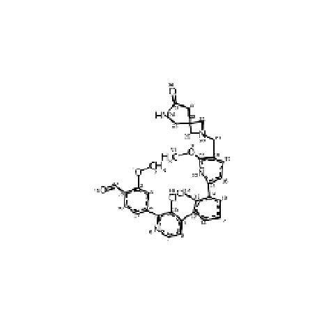 COc1cc(-c2nccc(-c3cccc(-c4ccc(CN5CC6(CNC(=O)C6)C5)c(OC)n4)c3Cl)c2Cl)ccc1C=O